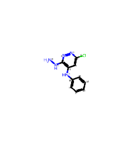 NNc1nnc(Cl)cc1Nc1ccccc1